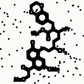 CCCC(CC[C@@H](C)CCn1c(=O)ccc2c(C(=O)COC)cc(OC)cc21)N(Cc1ccc2c(c1)OCCO2)C(=O)OC(C)(C)C